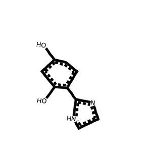 Oc1ccc(-c2ncc[nH]2)c(O)c1